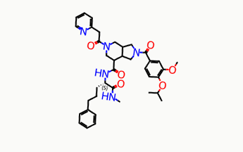 CNC(=O)[C@H](CCCc1ccccc1)NC(=O)C1CN(C(=O)Cc2ccccn2)CC2CN(C(=O)c3ccc(OC(C)C)c(OC)c3)CC21